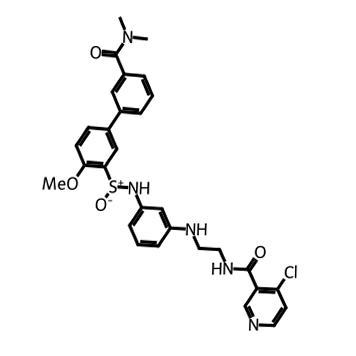 COc1ccc(-c2cccc(C(=O)N(C)C)c2)cc1[S+]([O-])Nc1cccc(NCCNC(=O)c2cnccc2Cl)c1